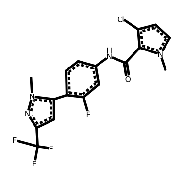 Cn1ccc(Cl)c1C(=O)Nc1ccc(-c2cc(C(F)(F)F)nn2C)c(F)c1